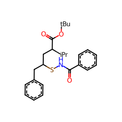 CC(C)C(CC(Cc1ccccc1)SNC(=O)c1ccccc1)C(=O)OC(C)(C)C